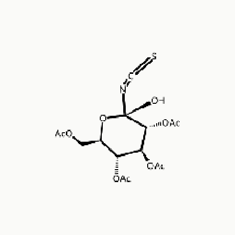 CC(=O)OC[C@H]1O[C@](O)(N=C=S)[C@H](OC(C)=O)[C@@H](OC(C)=O)[C@@H]1OC(C)=O